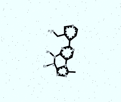 CC[C@@H]1c2nnc(C)n2-c2cnc(-c3ccncc3CN)nc2N1C(C)C